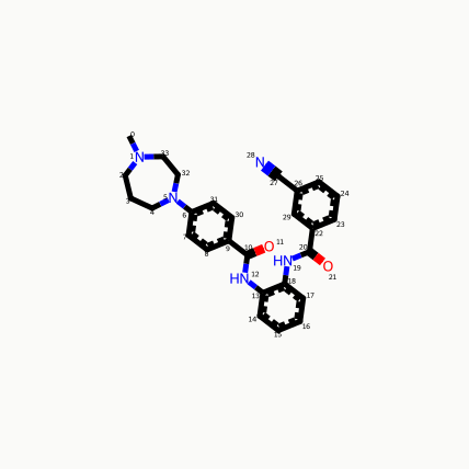 CN1CCCN(c2ccc(C(=O)Nc3ccccc3NC(=O)c3cccc(C#N)c3)cc2)CC1